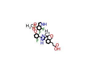 C[C@@]1(c2c[nH]c(-c3cc(Oc4c(F)c(F)c5[nH]ccc5c4S(C)(=O)=O)ccc3F)n2)COCc2c(CCC(=O)O)cccc21